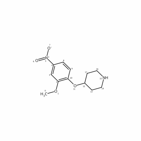 COc1cc([N+](=O)[O-])ccc1OC1CCNCC1